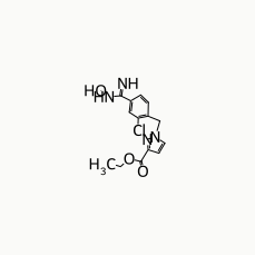 CCOC(=O)c1ccn(Cc2ccc(C(=N)NO)cc2Cl)n1